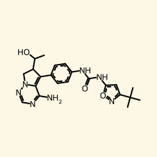 CC(O)C1CN2N=CN=C(N)C2=C1c1ccc(NC(=O)Nc2cc(C(C)(C)C)no2)cc1